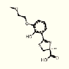 COCCOc1cccc(C2=N[C@@](C)(C(=O)O)CS2)c1O